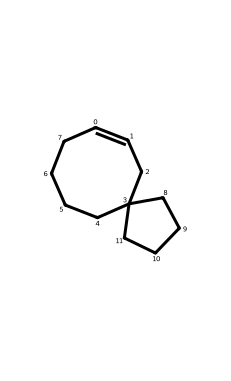 C1=CCC2(CCCC1)CCCC2